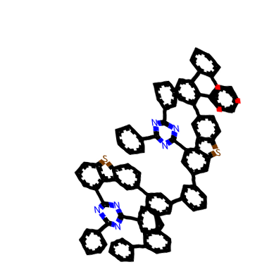 c1ccc(-c2cccc(-c3cc(-c4cccc(-c5cc(-c6nc(-c7ccccc7)nc(-c7ccccc7)n6)c6c(c5)sc5ccc(-c7cccc(-c8ccccc8-c8ccccc8)c7-c7ccccc7)cc56)c4)cc(-c4ccc5sc6cccc(-c7nc(-c8ccccc8)nc(-c8ccccc8)n7)c6c5c4)c3)c2)cc1